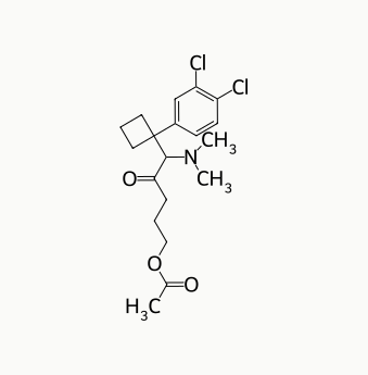 CC(=O)OCCCC(=O)C(N(C)C)C1(c2ccc(Cl)c(Cl)c2)CCC1